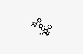 CCCc1c(Cc2ccc(-c3ccccc3-c3noc(=O)[nH]3)cc2)c(=O)n(C2CCOCC2)c2ncnn12